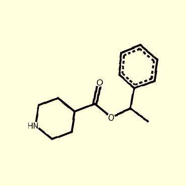 CC(OC(=O)C1CCNCC1)c1ccccc1